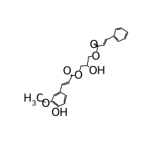 COc1cc(/C=C/C(=O)OCC(O)COC(=O)/C=C/c2ccccc2)ccc1O